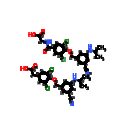 CC(C)Nc1cc(C#N)cc(COc2c(Cl)cc(C(=O)NCC(=O)O)cc2Cl)c1.CC(C)Nc1cc(C#N)cc(COc2c(Cl)cc(CC(=O)O)cc2Cl)c1